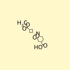 COC(=O)[C@H]1C[C@H](c2nc3c(o2)CC(C(=O)O)CC3)C1